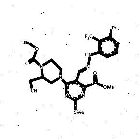 COC(=O)c1nc(SC)nc(N2CCN(C(=O)OC(C)(C)C)C(CC#N)C2)c1/C=N/Nc1cccc(C(C)C)c1C(F)(F)F